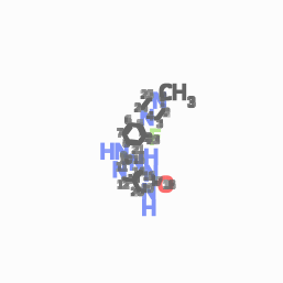 CN1CCN(c2ccc(Nc3ncc4c(n3)NC(=O)NC4)cc2F)CC1